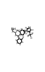 BCCCC(c1ccccc1C)c1ccccc1C.CC(C)(C)c1cnc[nH]1